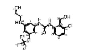 O=C(Nc1cc(NCCO)cc(OC(F)(F)F)c1)Nc1cccc(Cl)c1CO